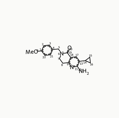 COc1ccc(CN2CCc3nc(N)c(C4CC4)cc3C2=O)cc1